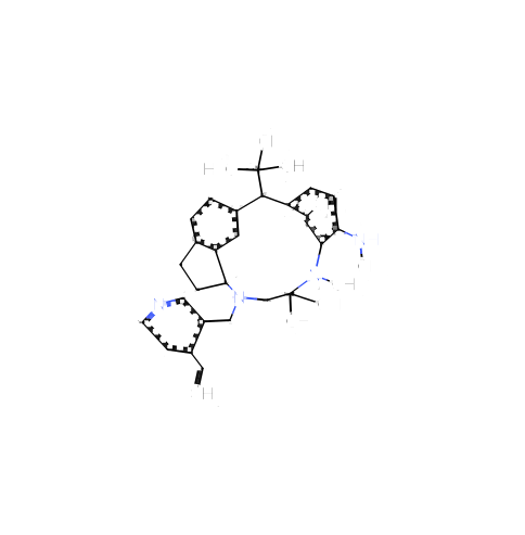 C=Cc1ccncc1CN1CC(C)(C)N(C)c2c(NC)ccc(c2C)C(C(C)(C)C)c2ccc3c(c2)C1CC3